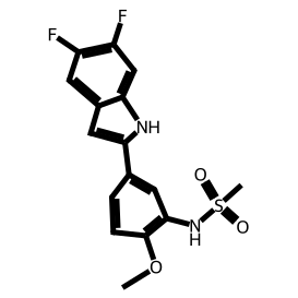 COc1ccc(-c2cc3cc(F)c(F)cc3[nH]2)cc1NS(C)(=O)=O